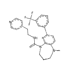 C=C(NCCc1ccncc1)N1CCCN(C)c2ccc(-c3cccc(C(F)(F)F)c3)nc21